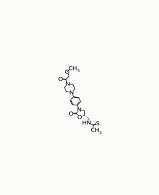 COCC(=O)N1CCN(c2ccc(N3C[C@H](CNC(C)=S)OC3=O)cc2)CC1